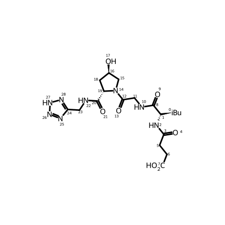 CC[C@H](C)[C@H](NC(=O)CCC(=O)O)C(=O)NCC(=O)N1C[C@H](O)C[C@H]1C(=O)NCc1nn[nH]n1